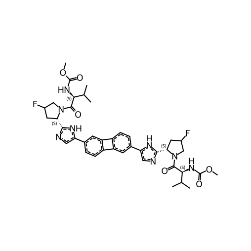 COC(=O)N[C@H](C(=O)N1CC(F)C[C@H]1c1ncc(-c2ccc3c(c2)-c2ccc(-c4cnc([C@@H]5CC(F)CN5C(=O)[C@@H](NC(=O)OC)C(C)C)[nH]4)cc2-3)[nH]1)C(C)C